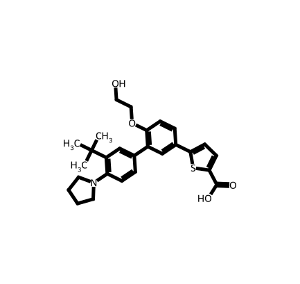 CC(C)(C)c1cc(-c2cc(-c3ccc(C(=O)O)s3)ccc2OCCO)ccc1N1CCCC1